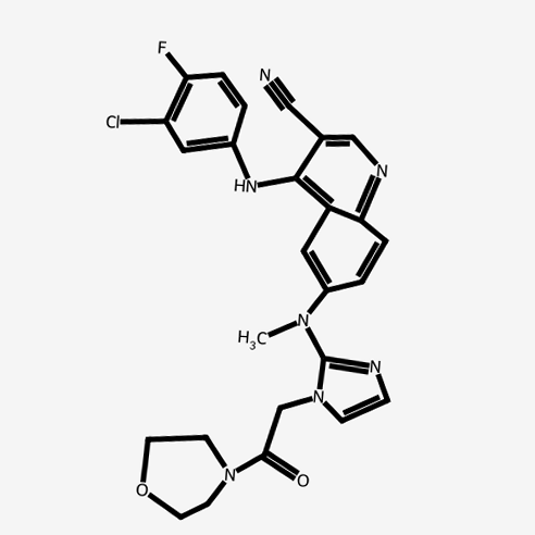 CN(c1ccc2ncc(C#N)c(Nc3ccc(F)c(Cl)c3)c2c1)c1nccn1CC(=O)N1CCOCC1